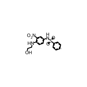 O=[N+]([O-])c1cc(NS(=O)(=O)c2cc[c]cc2)ccc1NCCO